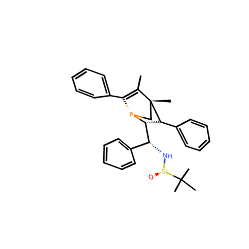 CC1=C(c2ccccc2)[P@]2C[C@@]1(C)C(c1ccccc1)[C@@H]2[C@H](N[S@+]([O-])C(C)(C)C)c1ccccc1